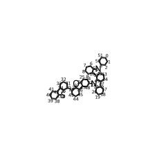 c1ccc(-n2c3ccccc3c3c2ccc2c4ccccc4n(-c4ccc5oc6c(-c7cccc8c7sc7ccccc78)cccc6c5c4)c23)cc1